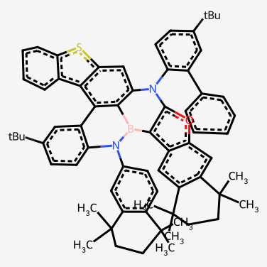 CC(C)(C)c1ccc2c(c1)-c1c3c(cc4sc5ccccc5c14)N(c1ccc(C(C)(C)C)cc1-c1ccccc1)c1oc4cc5c(cc4c1B3N2c1ccc2c(c1)C(C)(C)CCC2(C)C)C(C)(C)CCC5(C)C